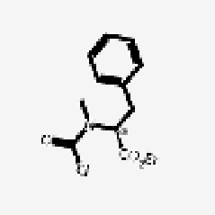 CCOC(=O)[C@H](Cc1ccccc1)N(C)C(=O)Cl